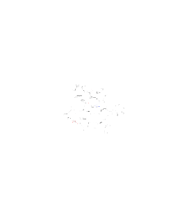 c1ccc(-c2cc(-c3ccccc3)cc(N(c3cccc(-c4cccc5oc6ccccc6c45)c3)c3cccc4oc5c6ccccc6ccc5c34)c2)cc1